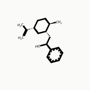 C=C(C)[C@@H]1CC[C@@H](C)[C@H](CC(O)c2ccccc2)C1